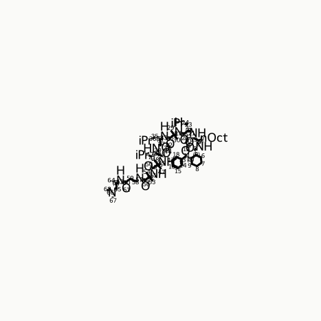 CCCCCCCC[C@H](NC(=O)[C@@H]1CCCC[C@@H]1C(=O)c1ccccc1)C(=O)N[C@@H](CC(C)C)C(=O)NC(C)(C)C(=O)N[C@@H](CC(C)C)C(=O)N[C@@H](CC(C)C)C(=O)NC(C)(C)C(=O)NC(C)(C)C(=O)NCCC(=O)N[C@@H](C)CN(C)C